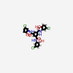 O=C(Nc1cc(Cl)ccc1O)c1cc(C(=O)Nc2cc(Cl)ccc2O)cc(C(=O)Nc2cc(Cl)ccc2O)c1